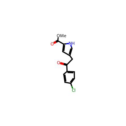 COC(=O)c1cc(CC(=O)c2ccc(Cl)cc2)c[nH]1